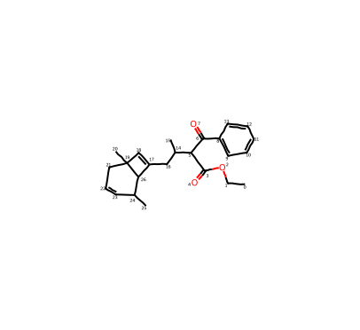 CCOC(=O)C(C(=O)c1ccccc1)C(C)CC1=CC2(C)CC=CC(C)C12